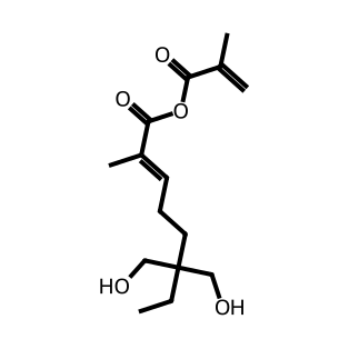 C=C(C)C(=O)OC(=O)C(C)=CCCC(CC)(CO)CO